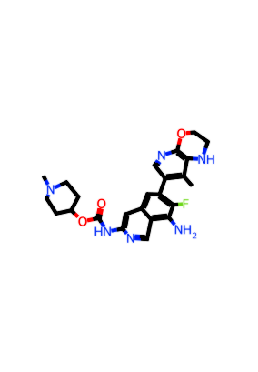 Cc1c(-c2cc3cc(NC(=O)OC4CCN(C)CC4)ncc3c(N)c2F)cnc2c1NCCO2